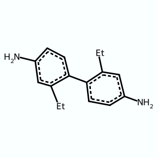 CCc1cc(N)ccc1-c1ccc(N)cc1CC